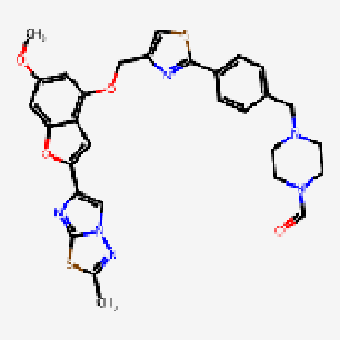 COc1cc(OCc2csc(-c3ccc(CN4CCN(C=O)CC4)cc3)n2)c2cc(-c3cn4nc(C)sc4n3)oc2c1